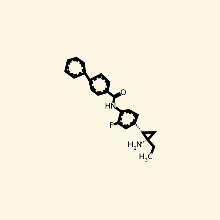 CC[C@]1(N)C[C@H]1c1ccc(NC(=O)c2ccc(-c3ccccc3)cc2)c(F)c1